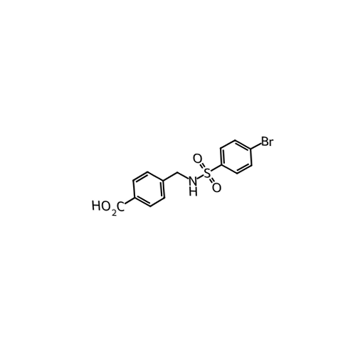 O=C(O)c1ccc(CNS(=O)(=O)c2ccc(Br)cc2)cc1